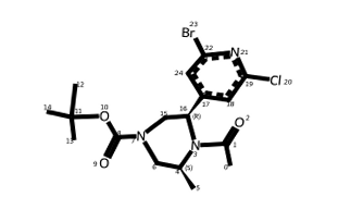 CC(=O)N1[C@@H](C)CN(C(=O)OC(C)(C)C)C[C@H]1c1cc(Cl)nc(Br)c1